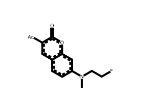 CC(=O)c1cc2ccc(N(C)CCF)cc2oc1=O